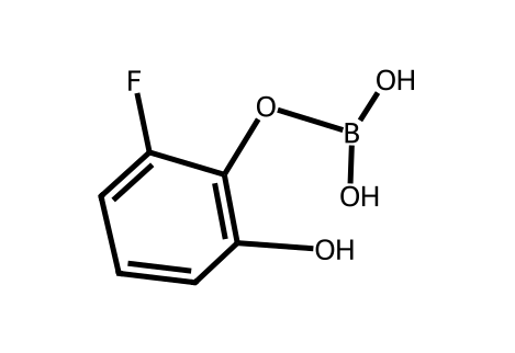 OB(O)Oc1c(O)cccc1F